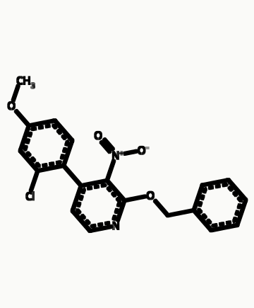 COc1ccc(-c2ccnc(OCc3ccccc3)c2[N+](=O)[O-])c(Cl)c1